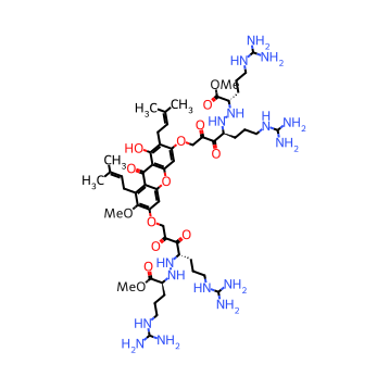 COC(=O)[C@H](CCCNC(N)N)NN[C@@H](CCCNC(N)N)C(=O)C(=O)COc1cc2oc3cc(OCC(=O)C(=O)[C@H](CCCNC(N)N)NN[C@@H](CCCNC(N)N)C(=O)OC)c(OC)c(CC=C(C)C)c3c(=O)c2c(O)c1CC=C(C)C